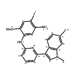 COc1cc(F)c([N+](=O)[O-])cc1Nc1nccc(-c2cn(C)c3cc(F)ccc23)n1